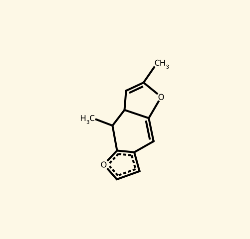 CC1=CC2C(=Cc3ccoc3C2C)O1